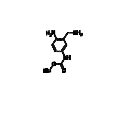 CC(C)(C)OC(=O)Nc1ccc(N)c(CN)c1